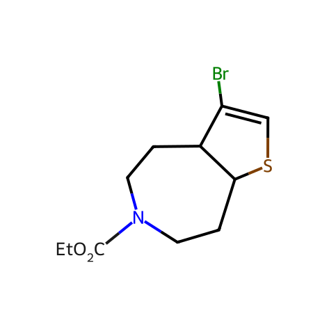 CCOC(=O)N1CCC2SC=C(Br)C2CC1